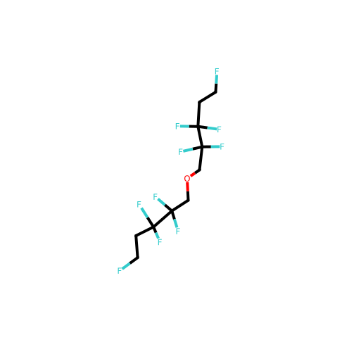 FCCC(F)(F)C(F)(F)COCC(F)(F)C(F)(F)CCF